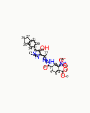 COC(=O)C1=CCC(C(=O)N/N=C(\C)c2nn(C)c(-c3ccc4c(c3)CCC4)c2O)C=C1[N+](=O)[O-]